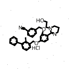 Cc1c(COc2ccc(C3=NCCCN3CCO)c(OCc3cccc(C#N)c3)c2)cccc1-c1ccccc1.Cl